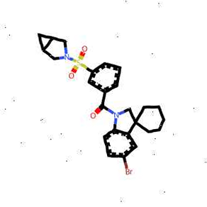 O=C(c1cccc(S(=O)(=O)N2CC3CC3C2)c1)N1CC2(CCCCC2)c2cc(Br)ccc21